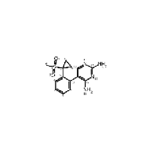 CS(=O)(=O)C1(c2ccccc2-c2cnc(N)nc2N)CC1